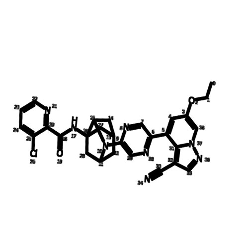 CCOc1cc(-c2cnc(N3C4CC5CC3C(NC(=O)c3ncccc3Cl)(C5)C4)cn2)c2c(C#N)cnn2c1